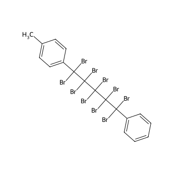 Cc1ccc(C(Br)(Br)C(Br)(Br)C(Br)(Br)C(Br)(Br)C(Br)(Br)c2ccccc2)cc1